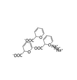 O=C([O-])C1C=CC=CO1.O=C([O-])C1C=CC=CO1.O=C([O-])C1C=CC=CO1.[Na+].[Na+].[Na+]